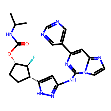 CC(C)NC(=O)O[C@H]1CC[C@@H](c2cc(Nc3nc(-c4cncnc4)cc4nccn34)n[nH]2)[C@@H]1F